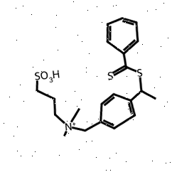 CC(SC(=S)c1ccccc1)c1ccc(C[N+](C)(C)CCCS(=O)(=O)O)cc1